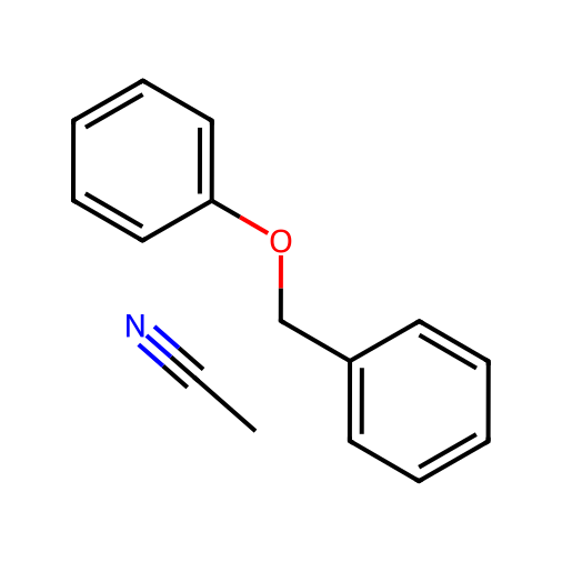 CC#N.c1ccc(COc2ccccc2)cc1